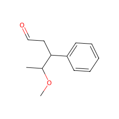 COC(C)C(CC=O)c1ccccc1